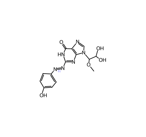 COC(C(O)O)n1cnc2c(=O)[nH]c(/N=N/c3ccc(O)cc3)nc21